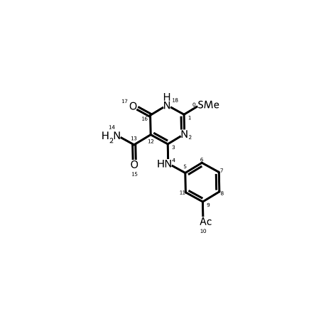 CSc1nc(Nc2cccc(C(C)=O)c2)c(C(N)=O)c(=O)[nH]1